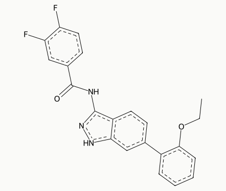 CCOc1ccccc1-c1ccc2c(NC(=O)c3ccc(F)c(F)c3)n[nH]c2c1